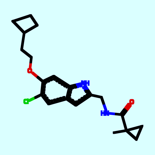 CC1(C(=O)NCc2cc3cc(Cl)c(OCCC4CCC4)cc3[nH]2)CC1